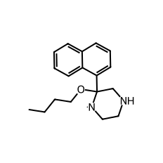 CCCCOC1(c2cccc3ccccc23)CNCC[N]1